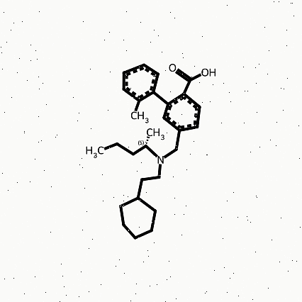 CCC[C@H](C)N(CCC1CCCCC1)Cc1ccc(C(=O)O)c(-c2ccccc2C)c1